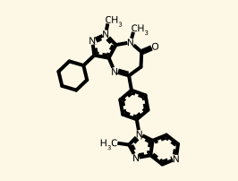 Cc1nc2cnccc2n1-c1ccc(C2=Nc3c(C4CCCCC4)nn(C)c3N(C)C(=O)C2)cc1